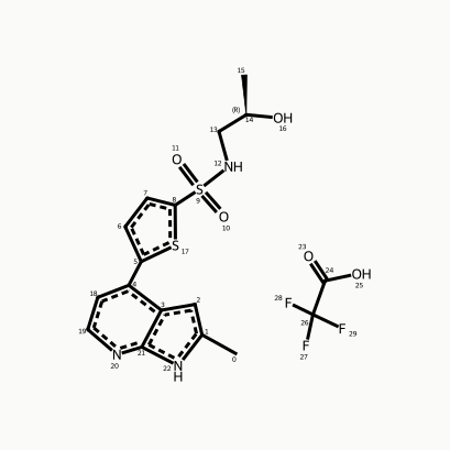 Cc1cc2c(-c3ccc(S(=O)(=O)NC[C@@H](C)O)s3)ccnc2[nH]1.O=C(O)C(F)(F)F